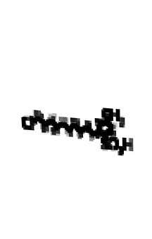 Cc1ccc(S(=O)(=O)O)c(CCCCCCCCCCCl)c1